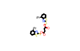 CC(C)c1cccc2sc(SOC(=O)CCC(=O)OSc3nc4c(C(C)C)cccc4s3)nc12